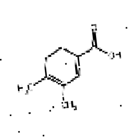 CC1=C(C)CCC(C(=O)O)=C1